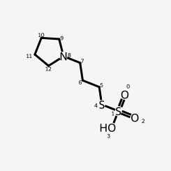 O=S(=O)(O)SCCCN1CCCC1